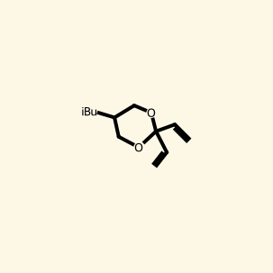 C=CC1(C=C)OCC(C(C)CC)CO1